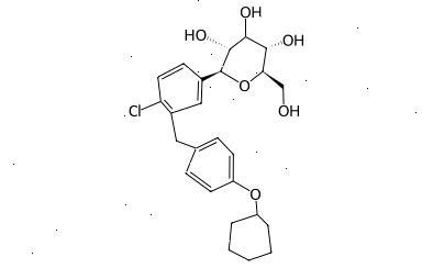 OC[C@H]1O[C@@H](c2ccc(Cl)c(Cc3ccc(OC4CCCCC4)cc3)c2)[C@H](O)C(O)[C@@H]1O